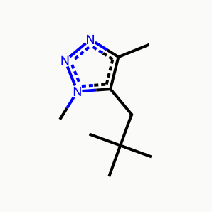 Cc1nnn(C)c1CC(C)(C)C